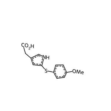 COc1ccc(Sc2cc(CC(=O)O)c[nH]2)cc1